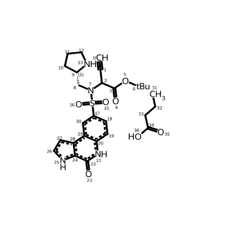 C#CC(C(=O)OC(C)(C)C)N(C[C@@H]1CCCN1)S(=O)(=O)c1ccc2[nH]c(=O)c3[nH]ccc3c2c1.CCCC(=O)O